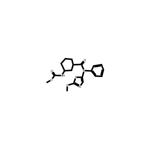 COC(=O)NC1CCCC(C(=O)N(c2ccccc2)c2cnc(OC)s2)C1